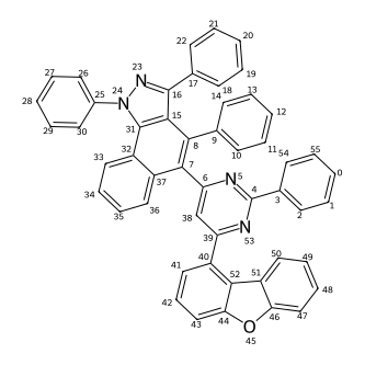 c1ccc(-c2nc(-c3c(-c4ccccc4)c4c(-c5ccccc5)nn(-c5ccccc5)c4c4ccccc34)cc(-c3cccc4oc5ccccc5c34)n2)cc1